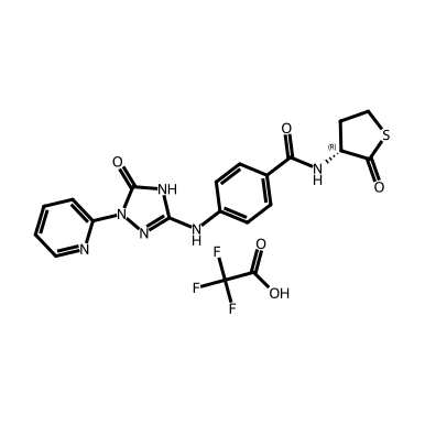 O=C(N[C@@H]1CCSC1=O)c1ccc(Nc2nn(-c3ccccn3)c(=O)[nH]2)cc1.O=C(O)C(F)(F)F